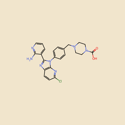 Nc1ncccc1-c1nc2ccc(Cl)nc2n1-c1ccc(CN2CCN(C(=O)O)CC2)cc1